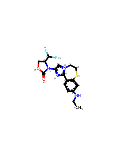 CCNc1ccc2c(c1)SCCn1cc(N3C(=O)OCC3C(F)F)nc1-2